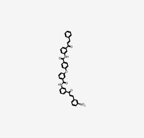 O=C(/C=C/c1ccccc1)c1cccc(NC(=O)c2ccc(Oc3cccc(C(=O)Nc4cccc(C(=O)/C=C/c5cccc([N+](=O)[O-])c5)c4)c3)cc2)c1